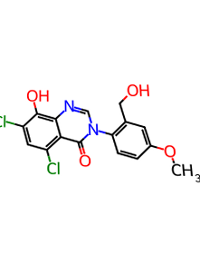 COc1ccc(-n2cnc3c(O)c(Cl)cc(Cl)c3c2=O)c(CO)c1